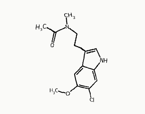 COc1cc2c(CCN(C)C(C)=O)c[nH]c2cc1Cl